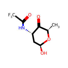 C[C@@H]1O[C@@H](O)C[C@H](NC(=O)C(F)(F)F)C1=O